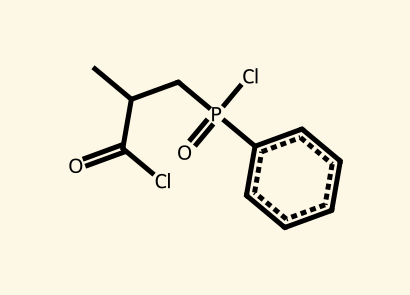 CC(CP(=O)(Cl)c1ccccc1)C(=O)Cl